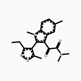 CCc1noc(C)c1-c1c(C(=O)C(=O)N(C)C)c2cc(C)ccc2n1C